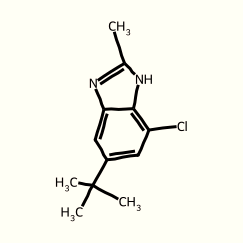 Cc1nc2cc(C(C)(C)C)cc(Cl)c2[nH]1